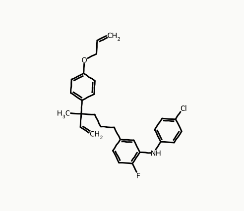 C=CCOc1ccc(C(C)(C=C)CCCc2ccc(F)c(Nc3ccc(Cl)cc3)c2)cc1